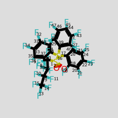 O=S(=O)(C(F)(F)C(F)(F)C(F)(F)C(F)(F)F)S(c1c(F)c(F)c(F)c(F)c1F)(c1c(F)c(F)c(F)c(F)c1F)c1c(F)c(F)c(F)c(F)c1F